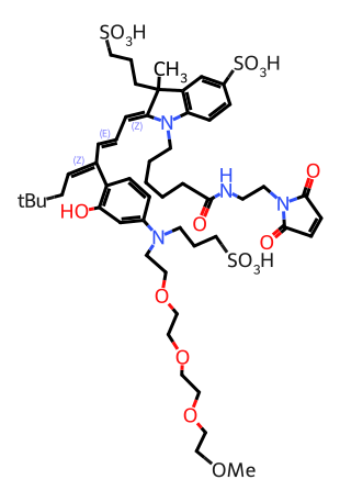 COCCOCCOCCOCCN(CCCS(=O)(=O)O)c1ccc(C(=C\CC(C)(C)C)/C=C/C=C2\N(CCCCCC(=O)NCCN3C(=O)C=CC3=O)c3ccc(S(=O)(=O)O)cc3C2(C)CCCS(=O)(=O)O)c(O)c1